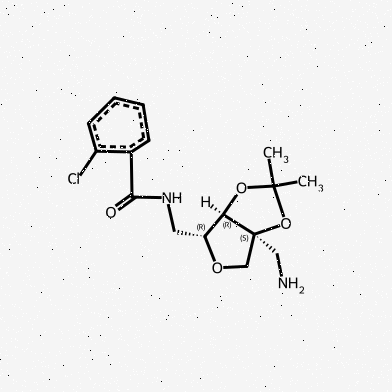 CC1(C)O[C@@H]2[C@@H](CNC(=O)c3ccccc3Cl)OC[C@]2(CN)O1